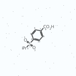 CC(C)S(=O)(=O)c1ccc(C(=O)O)cc1